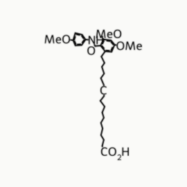 COc1ccc(NC(=O)c2c(CCCCCCCCCCCCCCCCCC(=O)O)cc(OC)cc2OC)cc1